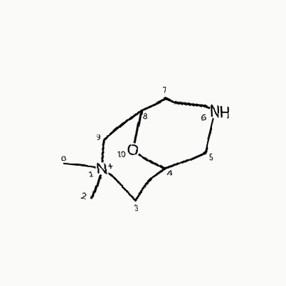 C[N+]1(C)CC2CNCC(C1)O2